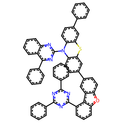 c1ccc(-c2ccc3c(c2)Sc2cc(-c4ccc5oc6cccc(-c7nc(-c8ccccc8)nc(-c8ccccc8)n7)c6c5c4)ccc2N3c2nc(-c3ccccc3)c3ccccc3n2)cc1